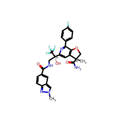 Cn1cc2cc(C(=O)NC[C@](O)(c3cc4c(c(-c5ccc(F)cc5)n3)OC[C@]4(C)C(N)=O)C(F)(F)F)ccc2n1